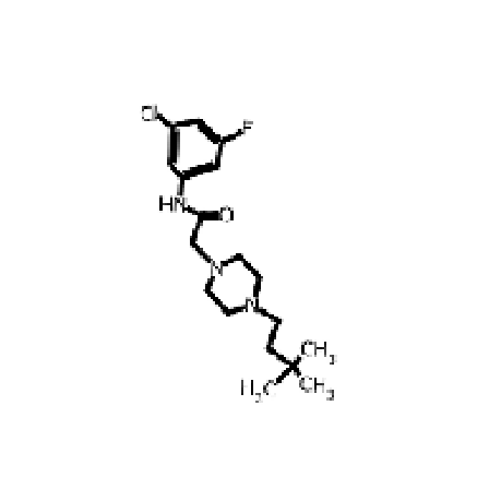 CC(C)(C)CCN1CCN(CC(=O)Nc2cc(F)cc(Cl)c2)CC1